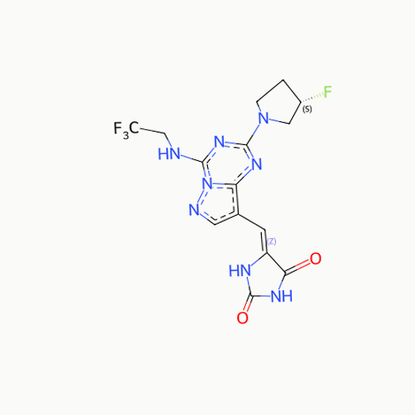 O=C1NC(=O)/C(=C/c2cnn3c(NCC(F)(F)F)nc(N4CC[C@H](F)C4)nc23)N1